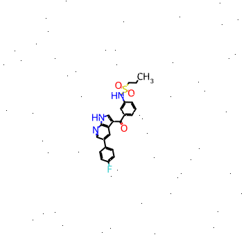 CCCS(=O)(=O)Nc1cccc(C(=O)c2c[nH]c3ncc(-c4ccc(F)cc4)cc23)c1